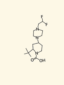 CC(C)(C)C1CC(N2CCN(CC(F)F)CC2)CCN1C(=O)O